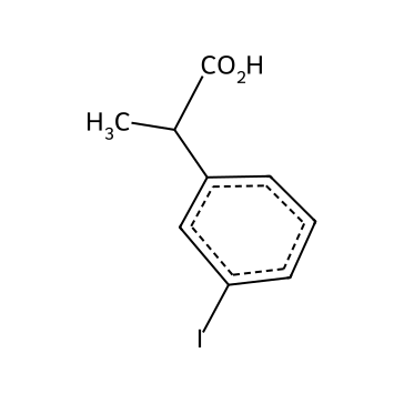 CC(C(=O)O)c1cccc(I)c1